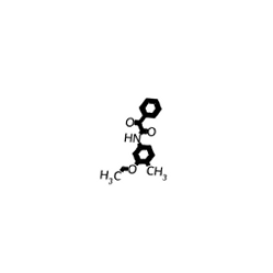 CCOc1cc(NC(=O)C(=O)c2ccccc2)ccc1C